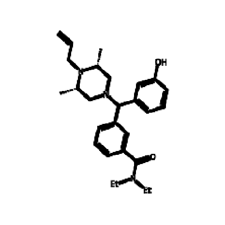 C=CCN1[C@H](C)CN(C(c2cccc(O)c2)c2cccc(C(=O)N(CC)CC)c2)C[C@@H]1C